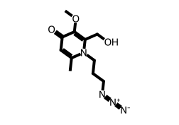 COc1c(CO)n(CCCN=[N+]=[N-])c(C)cc1=O